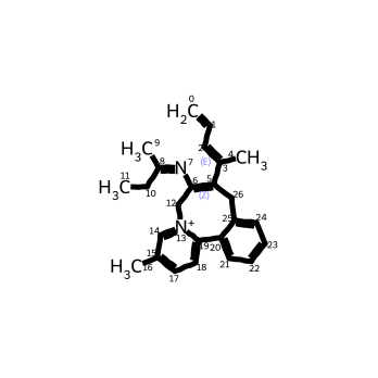 C=C/C=C(C)/C1=C(\N=C(C)CC)C[n+]2cc(C)ccc2-c2ccccc2C1